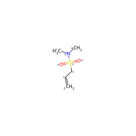 C=CCS(=O)(=O)N(C)C